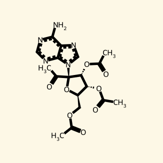 CC(=O)OC[C@H]1O[C@@](C(C)=O)(n2cnc3c(N)ncnc32)[C@H](OC(C)=O)[C@@H]1OC(C)=O